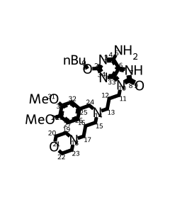 CCCCOc1nc(N)c2[nH]c(=O)n(CCCN(CCCN3CCOCC3)Cc3ccc(OC)c(OC)c3)c2n1